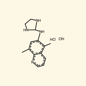 Cc1c(NC2NCCN2)cc(C)c2ncccc12.Cl.Cl